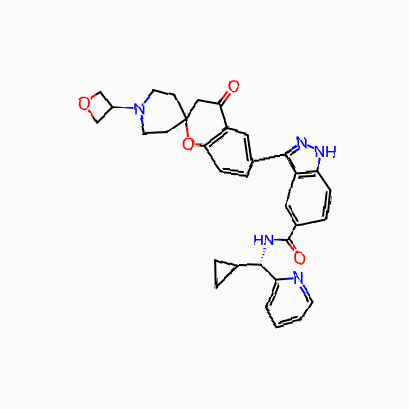 O=C(N[C@H](c1ccccn1)C1CC1)c1ccc2[nH]nc(-c3ccc4c(c3)C(=O)CC3(CCN(C5COC5)CC3)O4)c2c1